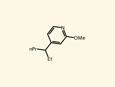 CCCC(CC)c1ccnc(OC)c1